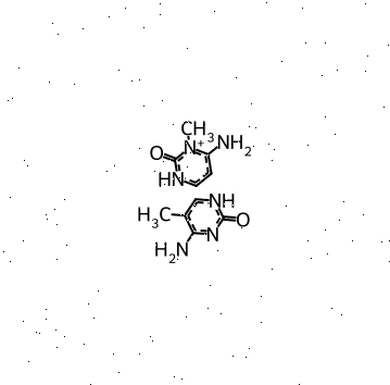 C[n+]1c(N)cc[nH]c1=O.Cc1c[nH]c(=O)nc1N